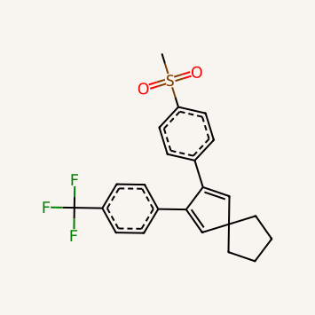 CS(=O)(=O)c1ccc(C2=CC3(C=C2c2ccc(C(F)(F)F)cc2)CCCC3)cc1